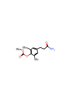 CC(C)(C)OC(=O)Oc1c(C(C)(C)C)cc(CCC(N)=O)cc1C(C)(C)C